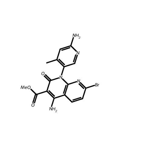 COC(=O)c1c(N)c2ccc(Br)nc2n(-c2cnc(N)cc2C)c1=O